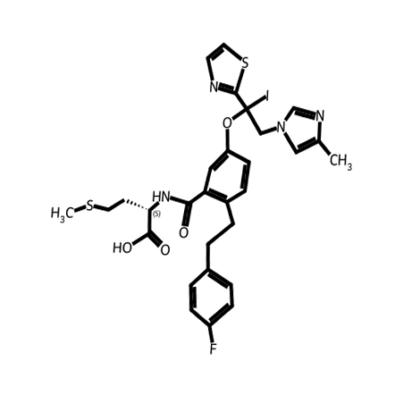 CSCC[C@H](NC(=O)c1cc(OC(I)(Cn2cnc(C)c2)c2nccs2)ccc1CCc1ccc(F)cc1)C(=O)O